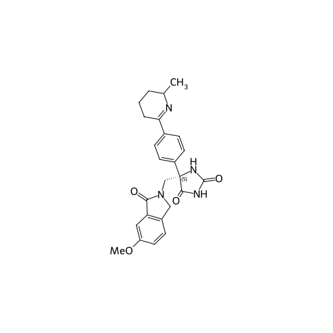 COc1ccc2c(c1)C(=O)N(C[C@]1(c3ccc(C4=NC(C)CCC4)cc3)NC(=O)NC1=O)C2